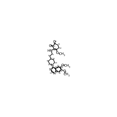 COC1=C(NCCC2CCN(c3ncnc4cc(OC)c(OC)cc34)CC2)C(=O)C(=O)CC1